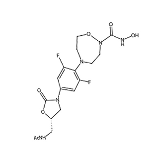 CC(=O)NC[C@H]1CN(c2cc(F)c(N3CCON(C(=O)NO)CC3)c(F)c2)C(=O)O1